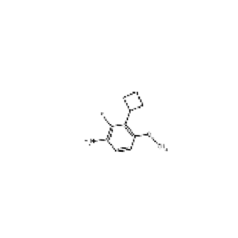 COc1ccc(N)c(F)c1C1CCC1